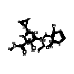 CCN(Cc1c(F)cccc1Cl)c1nc(C2CC2)nc(C(=O)OC)c1Cl